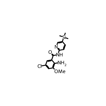 COc1cc(Cl)cc(C(=O)Nc2ccc([Si](C)(C)C)cn2)c1N